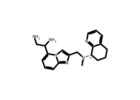 CN(Cc1cn2c(C(N)CN)cccc2n1)[C@H]1CCCc2cccnc21